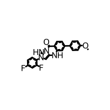 COc1ccc(-c2ccc3c(c2)NC2=CN(c4ccc(F)cc4F)NN2C3=O)cc1